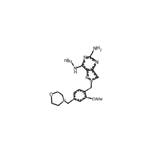 CCCCNc1nc(N)nc2cn(Cc3ccc(CN4CCOCC4)cc3OC)nc12